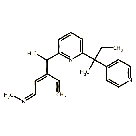 C=C/C(=C\C=N/C)C(C)c1cccc(C(C)(CC)c2ccncc2)n1